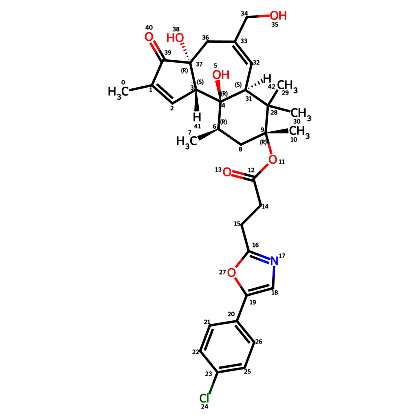 CC1=C[C@H]2[C@@]3(O)[C@H](C)C[C@@](C)(OC(=O)CCc4ncc(-c5ccc(Cl)cc5)o4)C(C)(C)[C@@H]3C=C(CO)C[C@]2(O)C1=O